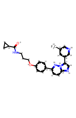 O=C(NCCCOc1ccc(-c2ccc3ncc(-c4cncc(C(F)(F)F)c4)n3n2)cc1)C1CC1